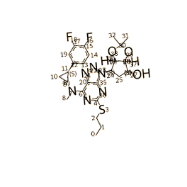 CCCSc1nc(N(C)[C@@H]2C[C@H]2c2ccc(F)c(F)c2)c2nnn([C@@H]3C[C@H](O)[C@H]4OC(C)(C)O[C@H]43)c2n1